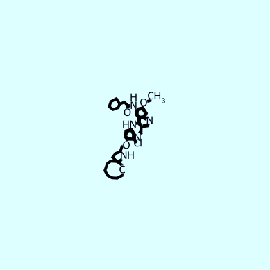 CCOc1cc2ncc(C#N)c(Nc3ccc(OCC4CCC5(CCCCCCCCC5)CN4)c(Cl)c3)c2cc1NC(=O)CC1CCCCC1